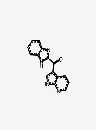 O=C(c1nc2ccccc2[nH]1)c1c[nH]c2ncccc12